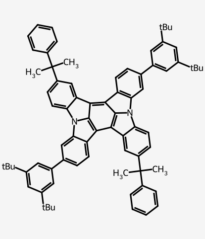 CC(C)(C)c1cc(-c2ccc3c4c5c6cc(C(C)(C)c7ccccc7)ccc6n6c7cc(-c8cc(C(C)(C)C)cc(C(C)(C)C)c8)ccc7c(c7c8cc(C(C)(C)c9ccccc9)ccc8n(c3c2)c74)c56)cc(C(C)(C)C)c1